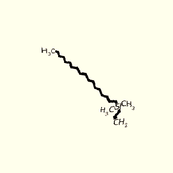 C=CC[Si](C)(C)CCCCCCCCCCCCCCCCCC